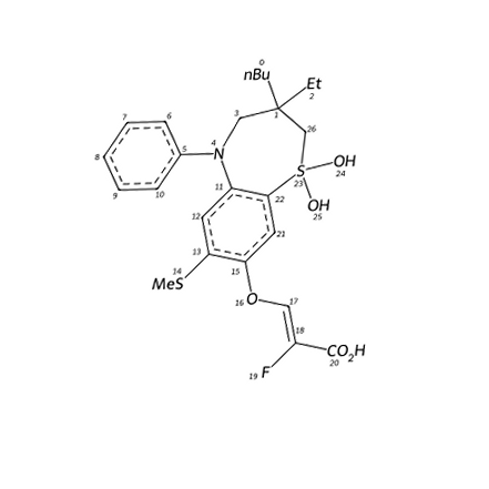 CCCCC1(CC)CN(c2ccccc2)c2cc(SC)c(OC=C(F)C(=O)O)cc2S(O)(O)C1